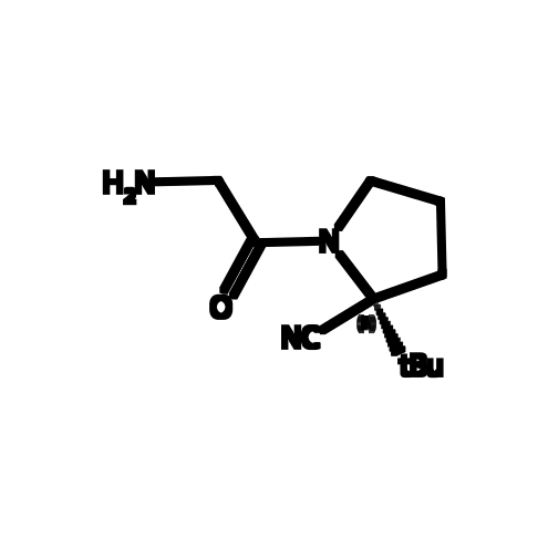 CC(C)(C)[C@@]1(C#N)CCCN1C(=O)CN